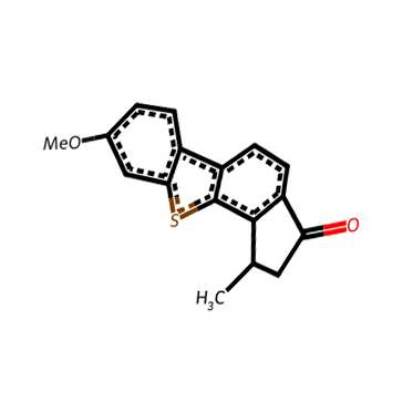 COc1ccc2c(c1)sc1c3c(ccc12)C(=O)CC3C